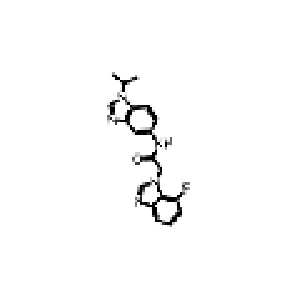 CC(C)n1cnc2cc(NC(=O)Cn3cnc4cccc(F)c43)ccc21